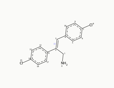 NC/C(=C\c1ccc(Cl)cc1)c1ccc(Cl)cc1